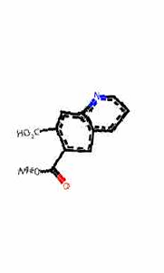 COC(=O)c1cc2cccnc2cc1C(=O)O